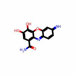 N=c1ccc2nc3c(C(N)=O)cc(O)c(O)c3oc-2c1